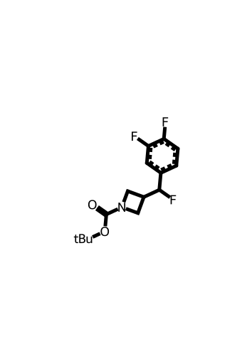 CC(C)(C)OC(=O)N1CC(C(F)c2ccc(F)c(F)c2)C1